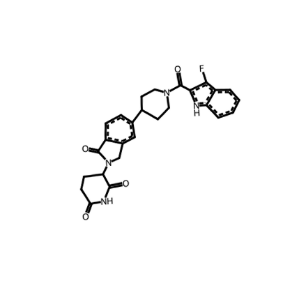 O=C1CCC(N2Cc3cc(C4CCN(C(=O)c5[nH]c6ccccc6c5F)CC4)ccc3C2=O)C(=O)N1